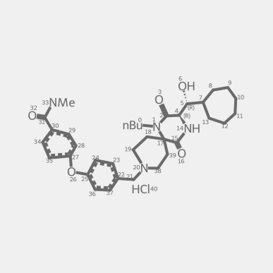 CCCCN1C(=O)[C@@H]([C@H](O)C2CCCCCC2)NC(=O)C12CCN(Cc1ccc(Oc3ccc(C(=O)NC)cc3)cc1)CC2.Cl